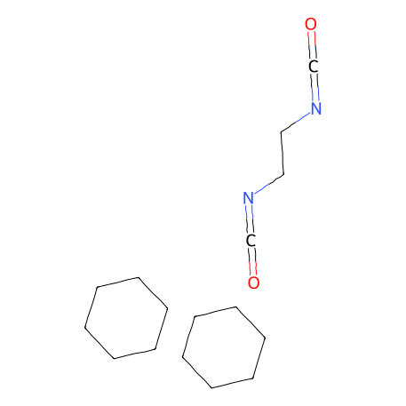 C1CCCCC1.C1CCCCC1.O=C=NCCN=C=O